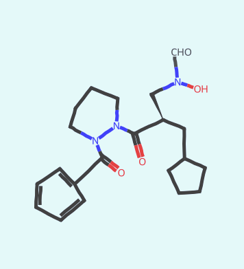 O=CN(O)C[C@@H](CC1CCCC1)C(=O)N1CCCCN1C(=O)c1ccccc1